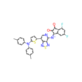 Cc1ccc(N(c2ccc(C)cc2)c2ccc(-c3cnc(/N=c4\c(=O)c(=O)c5c(F)cc(F)cc45)c4nsnc34)s2)cc1